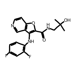 CC(C)(O)CNC(=O)c1oc2ccncc2c1Nc1ccc(I)cc1F